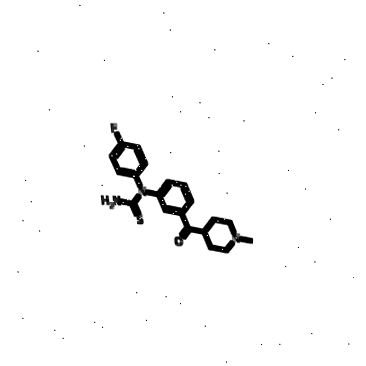 CN1CCC(C(=O)c2cccc(N(C(N)=S)c3ccc(F)cc3)c2)CC1